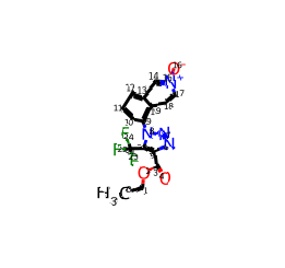 CCOC(=O)c1nnn(-c2cccc3c[n+]([O-])ccc23)c1C(F)(F)F